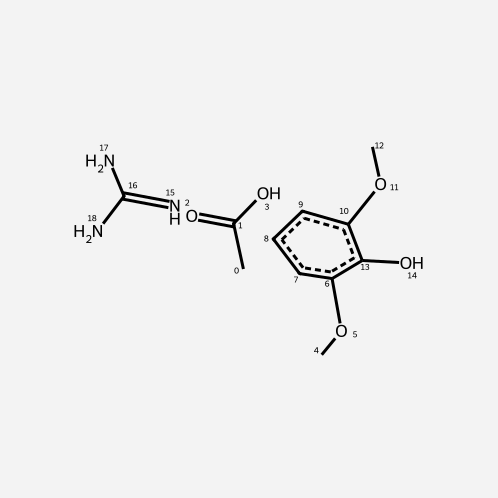 CC(=O)O.COc1cccc(OC)c1O.N=C(N)N